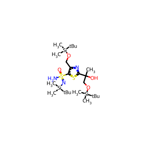 CC(O)(CO[Si](C)(C)C(C)(C)C)c1nc(CO[Si](C)(C)C(C)(C)C)c(S(N)(=O)=N[Si](C)(C)C(C)(C)C)s1